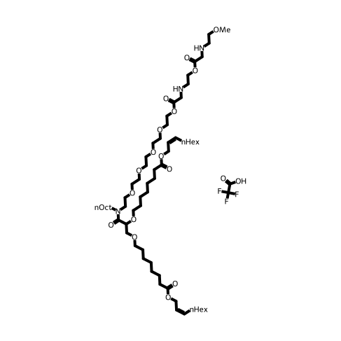 CCCCCC/C=C\COC(=O)CCCCCCCOCC(OCCCCCCCC(=O)OC/C=C\CCCCCC)C(=O)N(CCCCCCCC)CCOCCOCCOCCOCCOC(=O)CNCCOC(=O)CNCCOC.O=C(O)C(F)(F)F